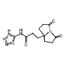 O=C(CCC12CCC(=O)N1C(=O)CC2)Nc1nnn[nH]1